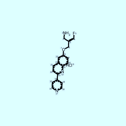 Cl.NC/C(=C\F)COc1ccc2nc(-c3ccncc3)ccc2c1